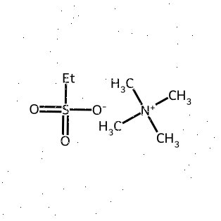 CCS(=O)(=O)[O-].C[N+](C)(C)C